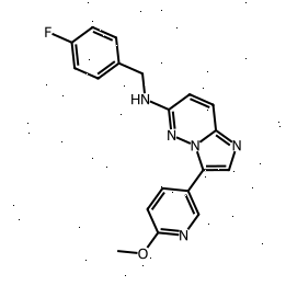 COc1ccc(-c2cnc3ccc(NCc4ccc(F)cc4)nn23)cn1